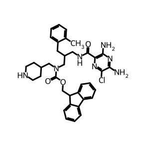 Cc1ccccc1CC(CNC(=O)c1nc(Cl)c(N)nc1N)CN(CC1CCNCC1)C(=O)OCC1c2ccccc2-c2ccccc21